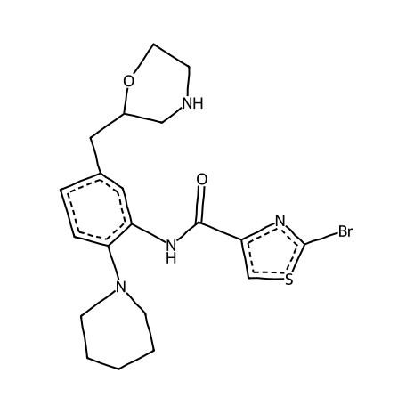 O=C(Nc1cc(CC2CNCCO2)ccc1N1CCCCC1)c1csc(Br)n1